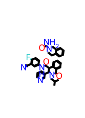 CC(C)CN1C(=O)c2ccccc2C(C(=O)Nc2ccc(F)c(C#N)c2)C1c1cccnc1.NC(=O)N1CCc2ccccc2C1